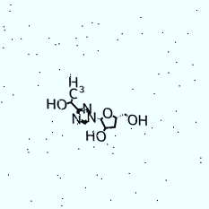 CC(O)c1ncn([C@@H]2O[C@H](CO)CC2O)n1